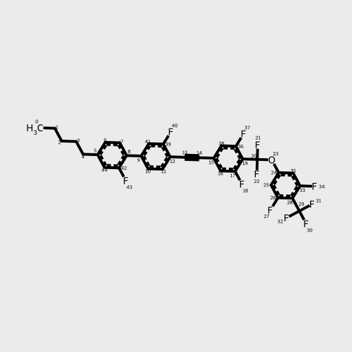 CCCCCc1ccc(-c2ccc(C#Cc3cc(F)c(C(F)(F)Oc4cc(F)c(C(F)(F)F)c(F)c4)c(F)c3)c(F)c2)c(F)c1